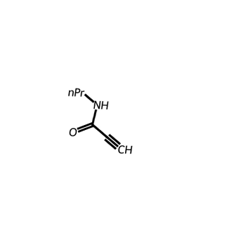 C#CC(=O)NCCC